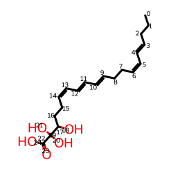 CCCC=C/C=C\CC/C=C/C=C/C=C\CCC(O)C(O)(O)C(=O)O